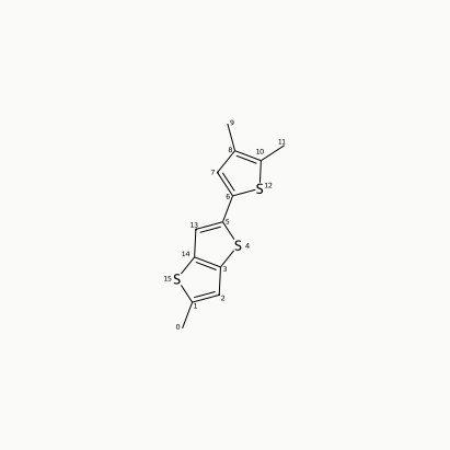 Cc1cc2sc(-c3cc(C)c(C)s3)cc2s1